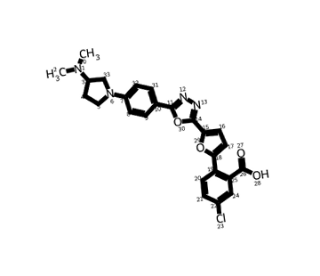 CN(C)C1CCN(c2ccc(-c3nnc(-c4ccc(-c5ccc(Cl)cc5C(=O)O)o4)o3)cc2)C1